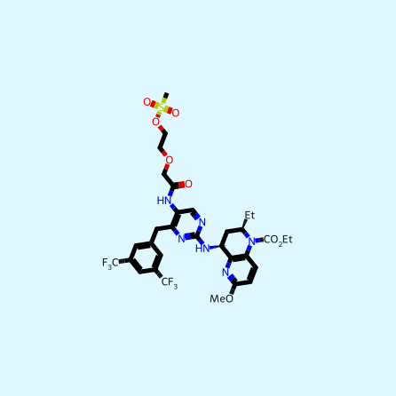 CCOC(=O)N1c2ccc(OC)nc2[C@@H](Nc2ncc(NC(=O)COCCOS(C)(=O)=O)c(Cc3cc(C(F)(F)F)cc(C(F)(F)F)c3)n2)C[C@H]1CC